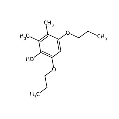 CCCOc1cc(OCCC)c(O)c(C)c1C